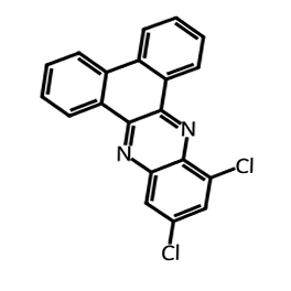 Clc1cc(Cl)c2nc3c4ccccc4c4ccccc4c3nc2c1